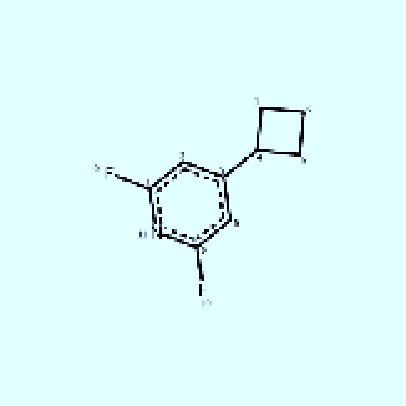 Fc1cc(C2CCC2)cc(F)n1